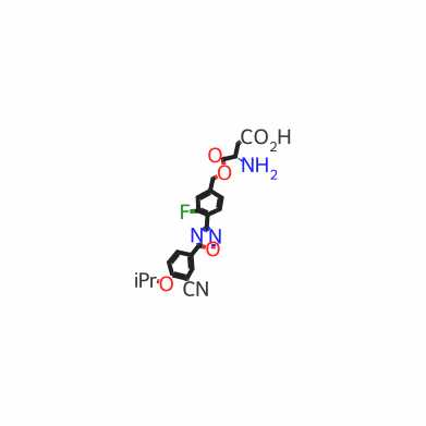 CC(C)Oc1ccc(-c2nc(-c3ccc(COC(=O)[C@@H](N)CC(=O)O)cc3F)no2)cc1C#N